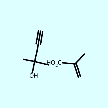 C#CC(C)(C)O.C=C(C)C(=O)O